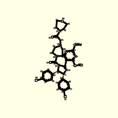 CCOc1nc(SC)ncc1C1=N[C@H](c2ccc(Cl)cc2)[C@H](c2ccc(Cl)cc2)N1C(=O)N1CCN(CC(=O)N2CCOCC2)CC1